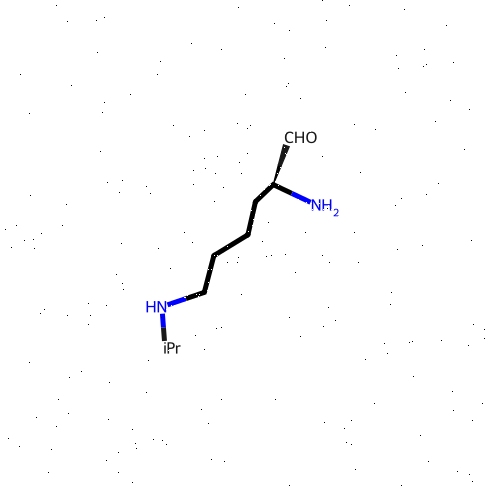 CC(C)NCCCC[C@H](N)C=O